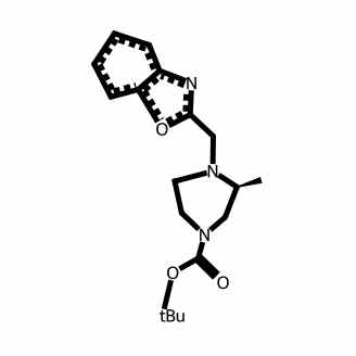 C[C@H]1CN(C(=O)OC(C)(C)C)CCN1Cc1nc2ccccc2o1